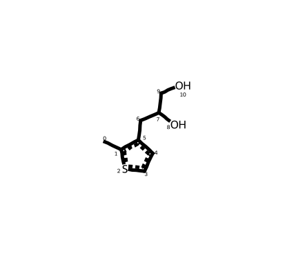 Cc1sccc1CC(O)CO